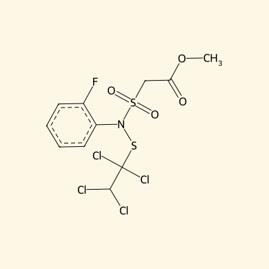 COC(=O)CS(=O)(=O)N(SC(Cl)(Cl)C(Cl)Cl)c1ccccc1F